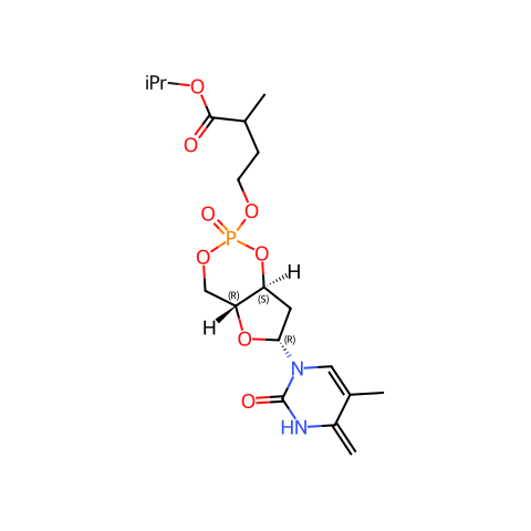 C=C1NC(=O)N([C@H]2C[C@@H]3OP(=O)(OCCC(C)C(=O)OC(C)C)OC[C@H]3O2)C=C1C